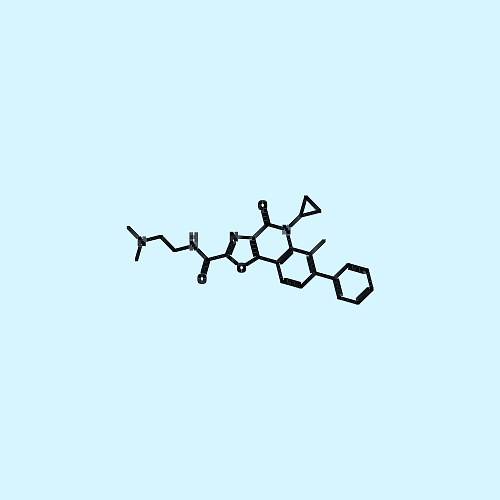 Cc1c(-c2ccccc2)ccc2c3oc(C(=O)NCCN(C)C)nc3c(=O)n(C3CC3)c12